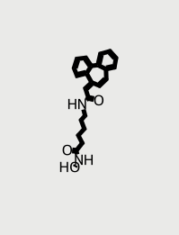 O=C(C=C1C=Cc2ccccc2-c2ccccc21)NCCCCCC(=O)NO